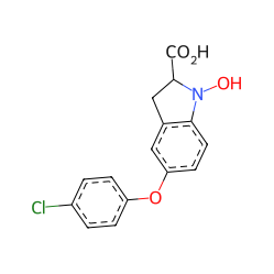 O=C(O)C1Cc2cc(Oc3ccc(Cl)cc3)ccc2N1O